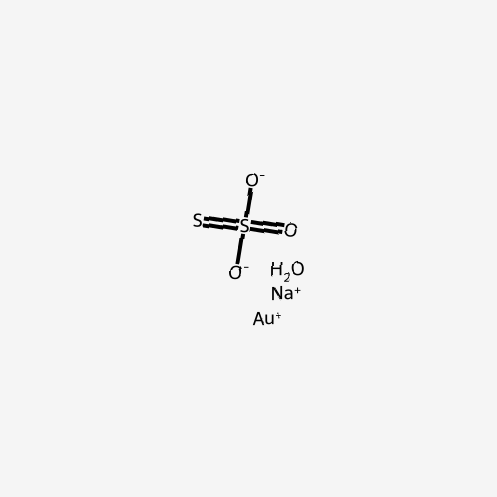 O.O=S([O-])([O-])=S.[Au+].[Na+]